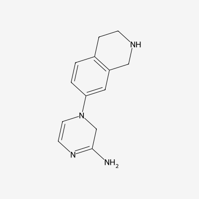 NC1=NC=CN(c2ccc3c(c2)CNCC3)C1